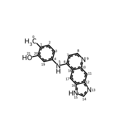 Cc1ccc(Nc2ccnc3cc4nc[nH]c4cc23)cc1O